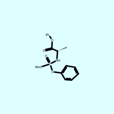 CSP(=O)(N[C@@H](C)C(=O)OC(C)C)Oc1ccccc1